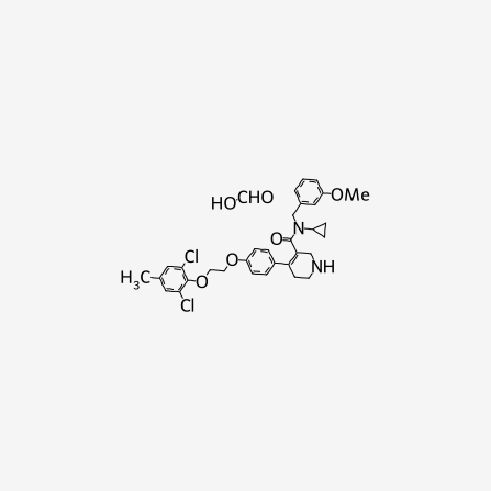 COc1cccc(CN(C(=O)C2=C(c3ccc(OCCOc4c(Cl)cc(C)cc4Cl)cc3)CCNC2)C2CC2)c1.O=CO